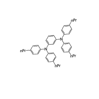 CCCc1ccc(N(c2ccc(CCC)cc2)c2cccc(N(c3ccc(CCC)cc3)c3ccc(CCC)cc3)c2)cc1